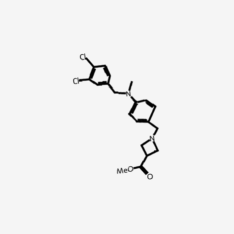 COC(=O)C1CN(Cc2ccc(N(C)Cc3ccc(Cl)c(Cl)c3)cc2)C1